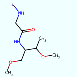 COCC(NC(=O)CNI)C(C)OC